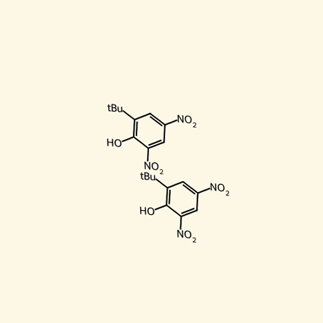 CC(C)(C)c1cc([N+](=O)[O-])cc([N+](=O)[O-])c1O.CC(C)(C)c1cc([N+](=O)[O-])cc([N+](=O)[O-])c1O